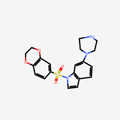 O=S(=O)(c1ccc2c(c1)OCCO2)n1ccc2ccc(N3CCNCC3)cc21